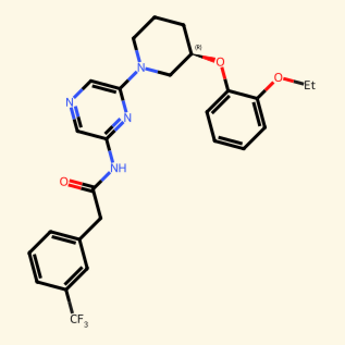 CCOc1ccccc1O[C@@H]1CCCN(c2cncc(NC(=O)Cc3cccc(C(F)(F)F)c3)n2)C1